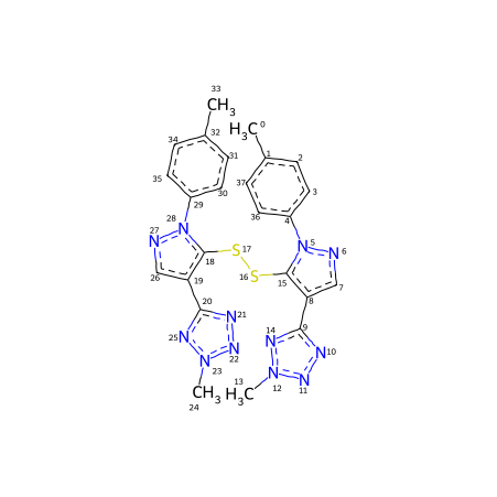 Cc1ccc(-n2ncc(-c3nnn(C)n3)c2SSc2c(-c3nnn(C)n3)cnn2-c2ccc(C)cc2)cc1